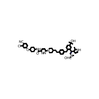 Cc1[nH]ccc1/C(=C\N(C)C=O)c1cc(C(C)(C)O)ccc1Cc1ccc(CCC2CCN(c3ccc(C(=O)NC4CCC(Oc5ccc(C#N)c(Cl)c5)CC4)nn3)CC2)cc1